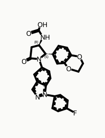 O=C(O)N[C@@H]1CC(=O)N(c2ccc3c(cnn3-c3ccc(F)cc3)c2)[C@H]1c1ccc2c(c1)OCCO2